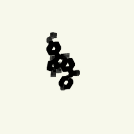 CCOc1ccc(C2Nc3ccc(C(=O)N4CCOCC4)cc3[C@H]3NCC[C@@H]23)cc1